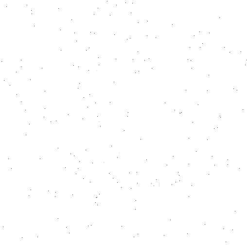 CNC=Cc1cccc(OCc2ccccc2)c1